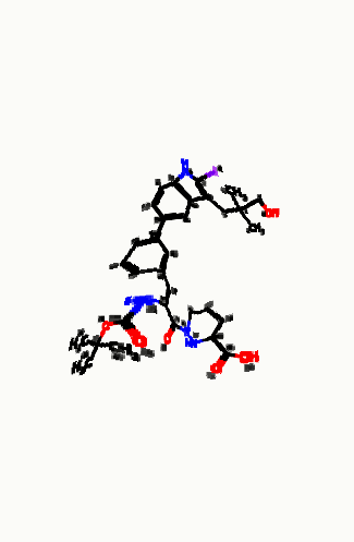 CC(C)(CO)Cc1c(I)[nH]c2ccc(-c3cccc(C[C@H](NC(=O)OC(C)(C)C)C(=O)N4CCCC(C(=O)O)N4)c3)cc12